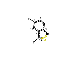 Cc1ccc2[c]sc(C)c2c1